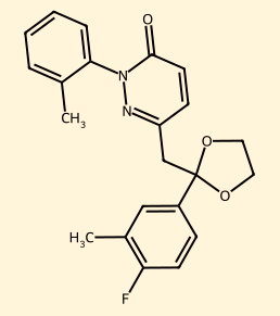 Cc1cc(C2(Cc3ccc(=O)n(-c4ccccc4C)n3)OCCO2)ccc1F